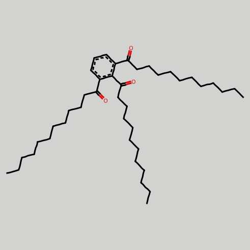 CCCCCCCCCCCC(=O)c1cccc(C(=O)CCCCCCCCCCC)c1C(=O)CCCCCCCCCCC